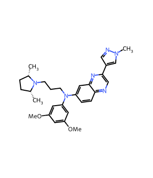 COc1cc(OC)cc(N(CCCN2[C@H](C)CC[C@@H]2C)c2ccc3ncc(-c4cnn(C)c4)nc3c2)c1